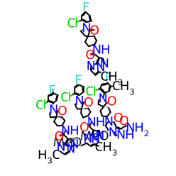 COCCN(C(=O)c1nc[nH]c1C(N)=O)[C@H]1CC[C@@]2(CCN(c3cc(C)c(F)cc3Cl)C2=O)CC1.COCc1cc(C)n2ncc(C(=O)N[C@H]3CC[C@]4(CCN(c5ccc(F)cc5Cl)C4=O)CC3)c2n1.Cc1ccn2ncc(C(=O)N[C@H]3CC[C@]4(CCN(c5ccc(F)cc5Cl)C4=O)CC3)c2n1.Cc1ccnc2c(C(=O)N[C@H]3CC[C@]4(CCN(c5ccc(F)cc5Cl)C4=O)CC3)cnn12